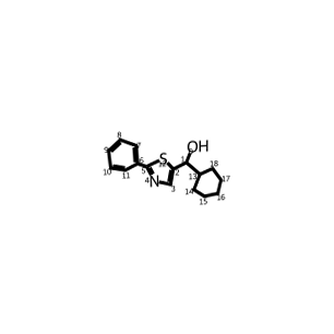 OC(c1cnc(-c2ccccc2)s1)C1CCCCC1